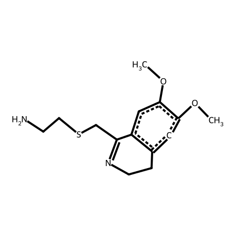 COc1cc2c(cc1OC)C(CSCCN)=NCC2